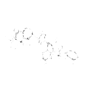 Cc1ccc(S(=O)(=O)n2c(C)c(-c3nc(-c4cccc([C@]5(O)CCN(C)C5=O)c4)cs3)c3cccnc32)cc1